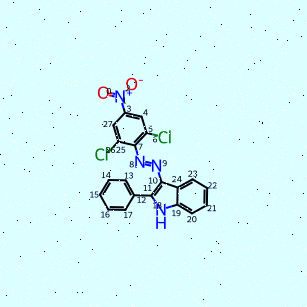 O=[N+]([O-])c1cc(Cl)c(N=Nc2c(-c3ccccc3)[nH]c3ccccc23)c(Cl)c1